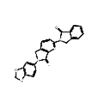 O=C1c2nc(N3Cc4ccccc4C3=O)ccc2CN1c1ccc2c(c1)OCO2